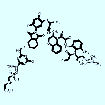 C#CC(C)Oc1cc(N2C(=O)C3=C(CCCC3)C2=O)c(F)cc1Cl.CC1COc2ccccc2N1C(=O)C(Cl)Cl.CCNc1nc(Cl)nc(NC(C)(C)C)n1.CCc1cccc(C)c1N(C(=O)CCl)C(C)COC.C[S+](C)C.O=C(O)CNCP(=O)([O-])O